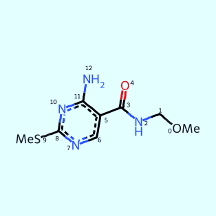 COCNC(=O)c1cnc(SC)nc1N